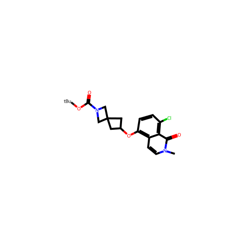 Cn1ccc2c(OC3CC4(C3)CN(C(=O)OC(C)(C)C)C4)ccc(Cl)c2c1=O